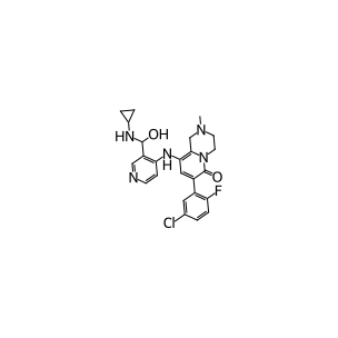 CN1CCn2c(c(Nc3ccncc3C(O)NC3CC3)cc(-c3cc(Cl)ccc3F)c2=O)C1